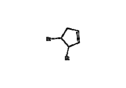 CCC1C=CCC1CC